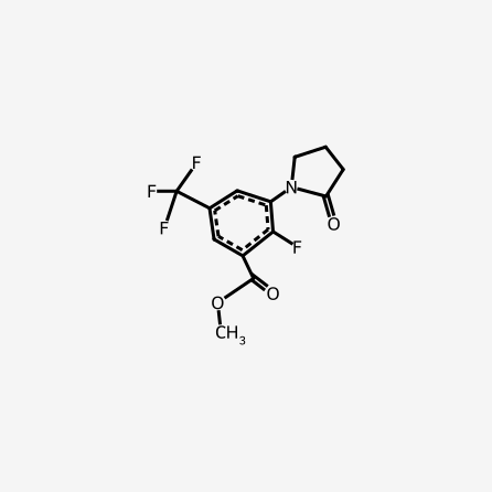 COC(=O)c1cc(C(F)(F)F)cc(N2CCCC2=O)c1F